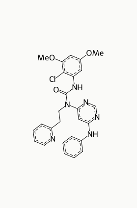 COc1cc(NC(=O)N(CCc2ccccn2)c2cc(Nc3ccccc3)ncn2)c(Cl)c(OC)c1